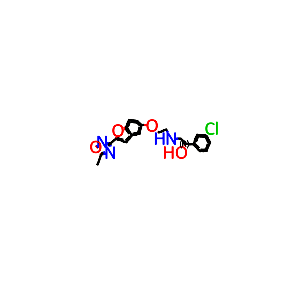 Cc1nc(-c2cc3cc(OCCNC[C@H](O)c4cccc(Cl)c4)ccc3o2)no1